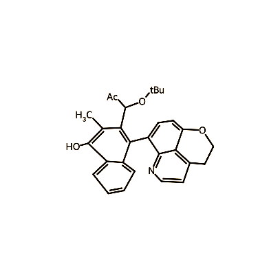 CC(=O)C(OC(C)(C)C)c1c(C)c(O)c2ccccc2c1-c1ccc2c3c(ccnc13)CCO2